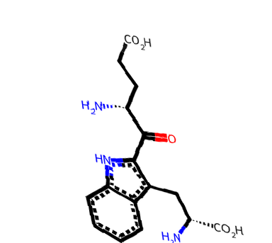 N[C@H](Cc1c(C(=O)[C@H](N)CCC(=O)O)[nH]c2ccccc12)C(=O)O